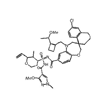 C=CC1OCCC(S(=O)(=NC(=O)c2ccc3c(c2)N(CC2CCC2C(C)OC)CC2(CCCc4cc(Cl)ccc42)CO3)NC(=O)c2cn(C)nc2OC)C1C